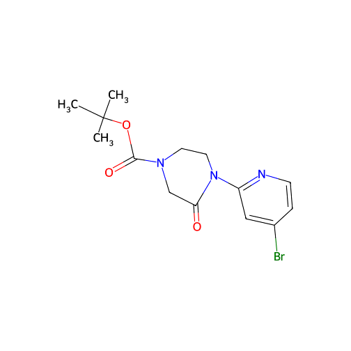 CC(C)(C)OC(=O)N1CCN(c2cc(Br)ccn2)C(=O)C1